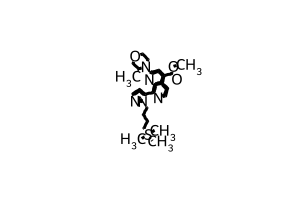 COC(=O)c1cc(N2CCOC[C@H]2C)nc2c(-c3ccnn3CCCCS(C)(C)C)nccc12